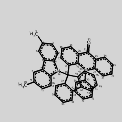 Cc1ccc2c(c1)c1cc(C)ccc1n2C1(c2cccc3c(=O)c4ccccc4n(-c4ccccc4)c23)c2ccccc2-c2ccccc21